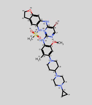 COc1cc(N2CCC(N3CCN(C4CC4)CC3)CC2)c(C)cc1Nc1ncc(Br)c(Nc2cc3c(cc2NS(C)(=O)=O)CCO3)n1